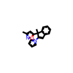 Cc1cc(C2(C)C(n3cccc3)=Cc3ccccc32)on1